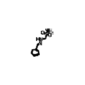 NS(=O)(=O)CNN=Cc1ccccc1